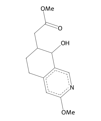 COC(=O)CC1CCc2cc(OC)ncc2C1O